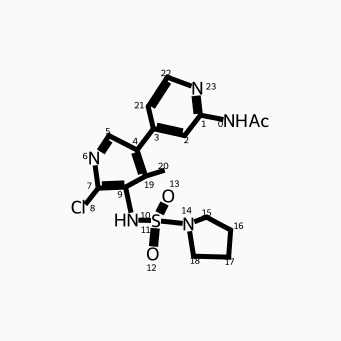 CC(=O)Nc1cc(-c2cnc(Cl)c(NS(=O)(=O)N3CCCC3)c2C)ccn1